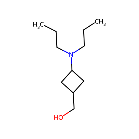 CCCN(CCC)C1CC(CO)C1